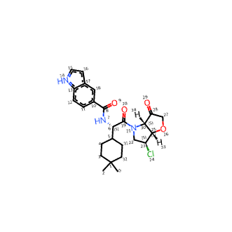 CC1(C)CCC([C@H](NC(=O)c2ccc3[nH]ccc3c2)C(=O)N2C[C@H](Cl)[C@H]3OCC(=O)[C@H]32)CC1